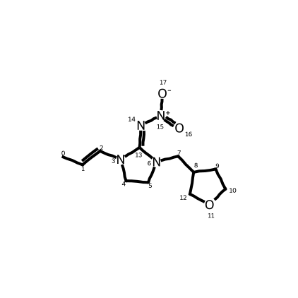 CC=CN1CCN(CC2CCOC2)C1=N[N+](=O)[O-]